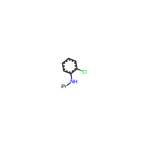 CC(C)Nc1c[c]ccc1Cl